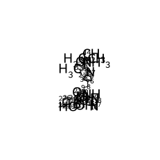 CC(Cc1cccc(CC[C@H](NC(=O)c2cnccn2)C(=O)N[C@@H](Cc2ccccc2)B(O)O)c1)C(C#N)C(=O)NC(C)(C)C